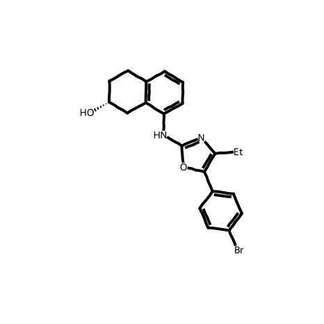 CCc1nc(Nc2cccc3c2C[C@H](O)CC3)oc1-c1ccc(Br)cc1